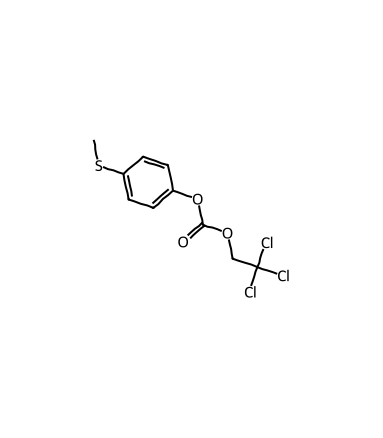 CSc1ccc(OC(=O)OCC(Cl)(Cl)Cl)cc1